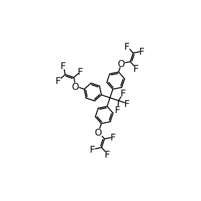 FC(F)=C(F)Oc1ccc(C(c2ccc(OC(F)=C(F)F)cc2)(c2ccc(OC(F)=C(F)F)cc2)C(F)(F)F)cc1